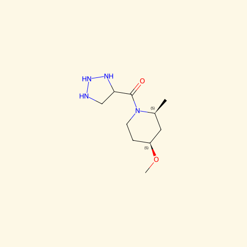 CO[C@H]1CCN(C(=O)C2CNNN2)[C@@H](C)C1